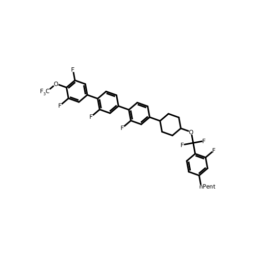 CCCCCc1ccc(C(F)(F)OC2CCC(c3ccc(-c4ccc(-c5cc(F)c(OC(F)(F)F)c(F)c5)c(F)c4)c(F)c3)CC2)c(F)c1